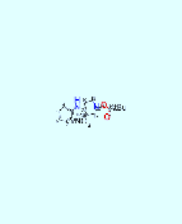 CC1(Nc2ccccc2[N+](=O)[O-])CCN(OC(=O)C(C)(C)C)CC1